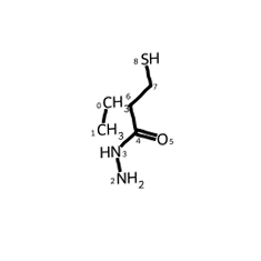 CC.NNC(=O)CCS